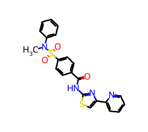 CN(c1ccccc1)S(=O)(=O)c1ccc(C(=O)Nc2nc(-c3ccccn3)cs2)cc1